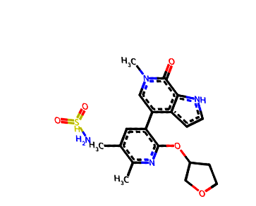 Cc1cc(-c2cn(C)c(=O)c3[nH]ccc23)c(OC2CCOC2)nc1C.N[SH](=O)=O